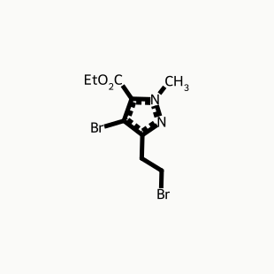 CCOC(=O)c1c(Br)c(CCBr)nn1C